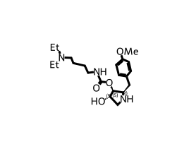 CCN(CC)CCCCNC(=O)O[C@@H]1[C@@H](O)CN[C@@H]1Cc1ccc(OC)cc1